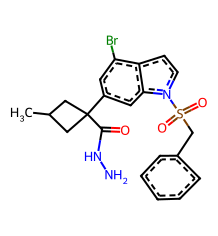 CC1CC(C(=O)NN)(c2cc(Br)c3ccn(S(=O)(=O)Cc4ccccc4)c3c2)C1